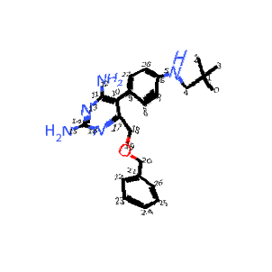 CC(C)(C)CNc1ccc(-c2c(N)nc(N)nc2COCc2ccccc2)cc1